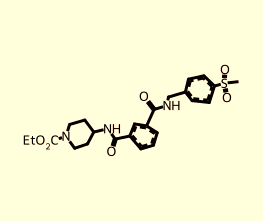 CCOC(=O)N1CCC(NC(=O)c2cccc(C(=O)NCc3ccc(S(C)(=O)=O)cc3)c2)CC1